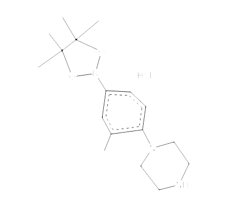 Cc1cc(B2OC(C)(C)C(C)(C)O2)ccc1N1CCNCC1.Cl